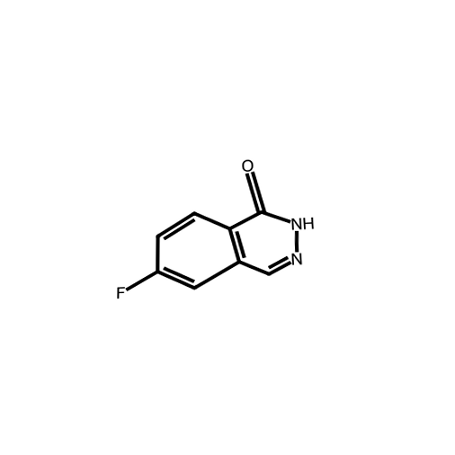 O=c1[nH]ncc2cc(F)ccc12